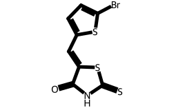 O=C1NC(=S)S/C1=C\c1ccc(Br)s1